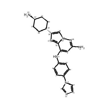 Nc1cc(Nc2ccc(-n3ccnc3)cc2)c2nc([C@H]3CC[C@H](N)CC3)cn2n1